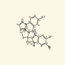 CC1(c2nc3cc(F)c(Br)cc3[nH]2)CCCN1C(=O)c1cc(F)ccc1-n1nccn1